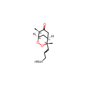 CCCCCCCCCCC=C[C@]1(C)OO[C@@H]2C[C@H]1CC(=O)[C@@H]2C